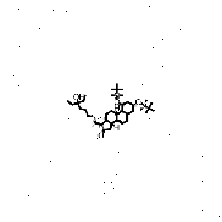 CCC(O)(CC)CCCS[C@@H](C)[C@H]1C(=O)C[C@H]2C3=CC=C4C[C@@H](O[Si](C)(C)C(C)(C)C)C[C@H](O[Si](C)(C)C(C)(C)C)[C@]4(C)[C@H]3CC[C@]12C